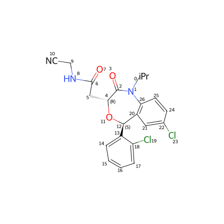 CC(C)N1C(=O)[C@@H](CC(=O)NCC#N)O[C@H](c2ccccc2Cl)c2cc(Cl)ccc21